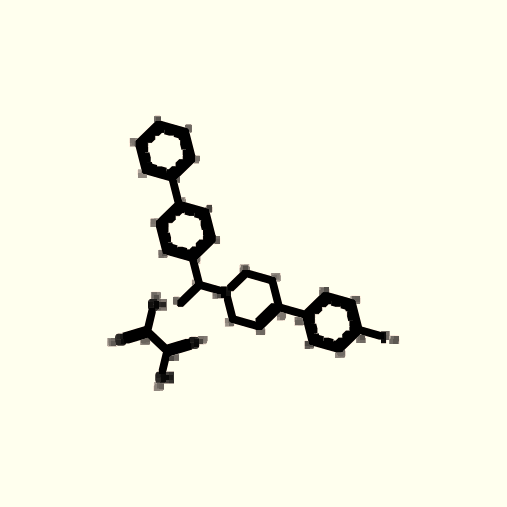 CC(c1ccc(-c2ccccc2)cc1)N1CC=C(c2ccc(F)cc2)CC1.O=C(O)C(=O)O